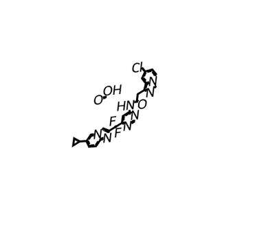 O=C(Cc1ncn2ccc(Cl)cc12)Nc1cc(C(F)(F)c2cn3cc(C4CC4)ccc3n2)ncn1.O=CO